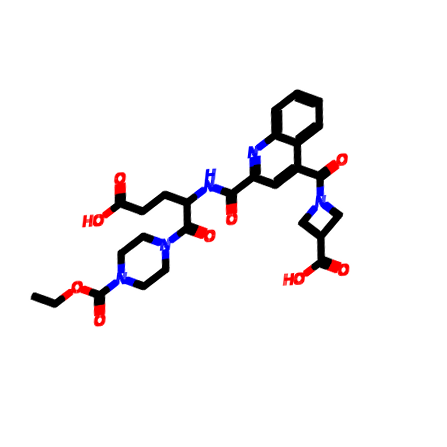 CCOC(=O)N1CCN(C(=O)C(CCC(=O)O)NC(=O)c2cc(C(=O)N3CC(C(=O)O)C3)c3ccccc3n2)CC1